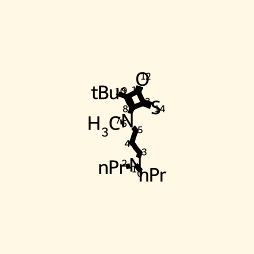 CCCN(CCC)CCCN(C)c1c(C(C)(C)C)c(=O)c1=S